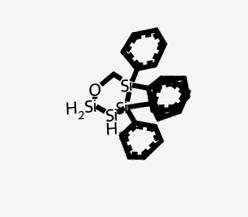 c1ccc([Si]2(c3ccccc3)CO[SiH2][SiH2][Si]2(c2ccccc2)c2ccccc2)cc1